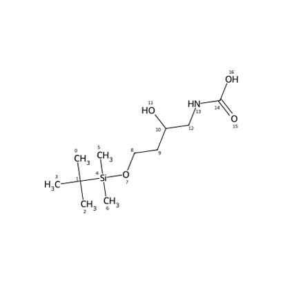 CC(C)(C)[Si](C)(C)OCCC(O)CNC(=O)O